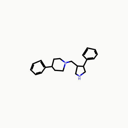 c1ccc(C2CCN(CC3CNCC3c3ccccc3)CC2)cc1